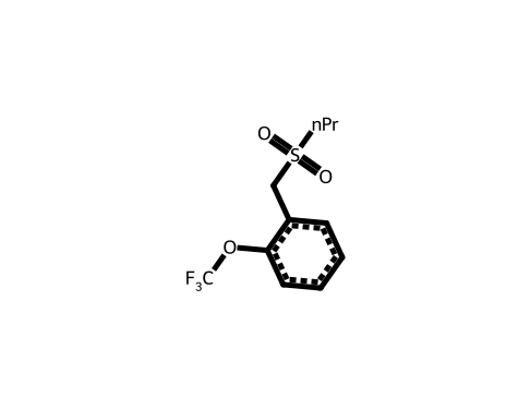 CCCS(=O)(=O)Cc1ccccc1OC(F)(F)F